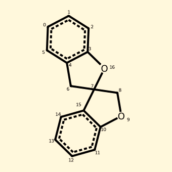 c1ccc2c(c1)CC1(COc3ccccc31)O2